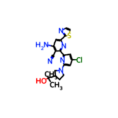 CC(C)(O)C1CCN(c2cc(Cl)cc(-c3nc(-c4nccs4)cc(N)c3C#N)n2)C1